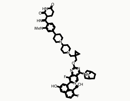 C#Cc1c(F)ccc2cc(O)cc(-c3ncc4c(N5CC6CCC(C5)N6)nc(OCC5(CN6CCC(N7CCC(c8ccc(C(=N)C9CCC(=O)NC9=O)c(NC)c8)CC7)CC6)CC5)nc4c3F)c12